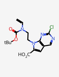 C=CN(CCn1c(C(=O)O)cc2cnc(Cl)nc21)C(=O)OC(C)(C)C